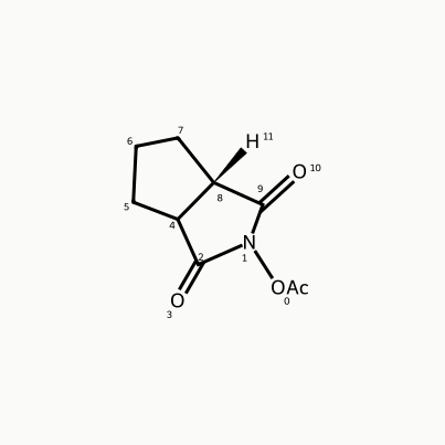 CC(=O)ON1C(=O)C2CCC[C@@H]2C1=O